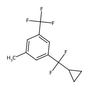 Cc1cc(C(F)(F)F)cc(C(F)(F)C2CC2)c1